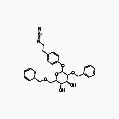 [N-]=[N+]=NCCc1ccc(O[C@@H]2OC(COCc3ccccc3)[C@H](O)[C@H](O)C2OCc2ccccc2)cc1